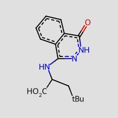 CC(C)(C)CC(Nc1n[nH]c(=O)c2ccccc12)C(=O)O